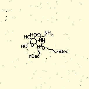 CCCCCCCCCCCCCCOC(=O)N(CCCCCCCCCCCC)[C@@H]1O[C@H](CO)[C@@H](O)[C@H](O)[C@H]1NC(=O)CN